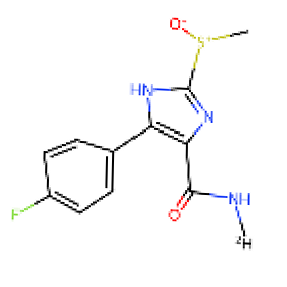 [2H]NC(=O)c1nc([S+](C)[O-])[nH]c1-c1ccc(F)cc1